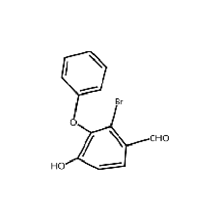 O=Cc1ccc(O)c(Oc2ccccc2)c1Br